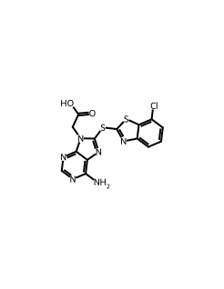 Nc1ncnc2c1nc(Sc1nc3cccc(Cl)c3s1)n2CC(=O)O